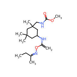 C=C(NC1CC(C)(C)CC(C)(CNC(=O)OC)C1)ON=C(C)CC